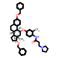 C[C@]12C[C@H](Oc3ccc(NC(=O)CCN4CCCC4)c(C(F)(F)F)c3)[C@@H]3c4ccc(OCc5ccccc5)cc4CC[C@H]3[C@@H]1CC[C@@H]2OCc1ccccc1